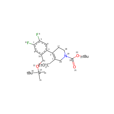 CCOC(=O)C1=C(c2cc(F)c(F)cc2CO[Si](C)(C)C(C)(C)C)CCN(C(=O)OC(C)(C)C)C1